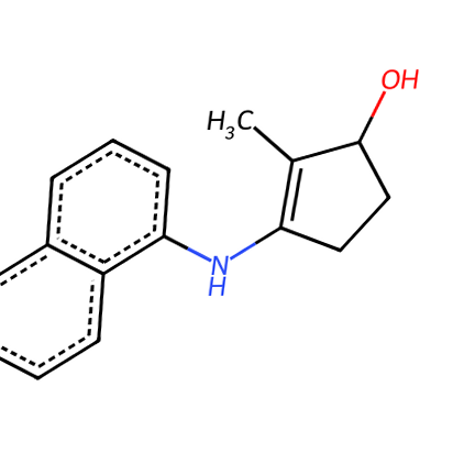 CC1=C(Nc2cccc3ccccc23)CCC1O